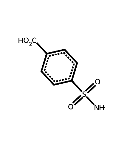 [NH]S(=O)(=O)c1ccc(C(=O)O)cc1